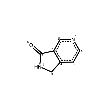 O=C1NCc2ccn[c]c21